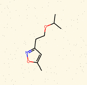 Cc1cc(CCOC(C)C)no1